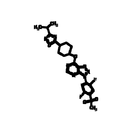 CC(C)c1noc(C2CCC(Oc3ncnc4c3nnn4-c3cc(F)c(S(C)(=O)=O)cc3F)CC2)n1